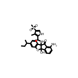 CCC(C)c1ccc2c(c1)OC1(O)c3cccc(N)c3C(=O)C21NC(=O)c1[nH]cc(S(C)(=O)=O)c1C